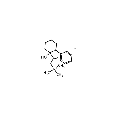 CC(C[N+](C)(C)C)C1(O)CCCCC1c1ccccc1.[I-]